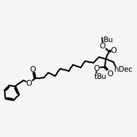 CCCCCCCCCCCC(CCCCCCCCCCC(=O)OCc1ccccc1)(C(=O)OC(C)(C)C)C(=O)OC(C)(C)C